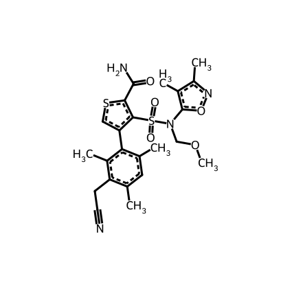 COCN(c1onc(C)c1C)S(=O)(=O)c1c(-c2c(C)cc(C)c(CC#N)c2C)csc1C(N)=O